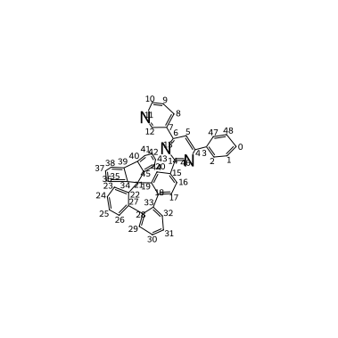 c1ccc(-c2cc(-c3cccnc3)nc(-c3ccc4c(c3)C3(c5ccccc5-c5ccccc5-4)c4ccccc4-c4ccccc43)n2)cc1